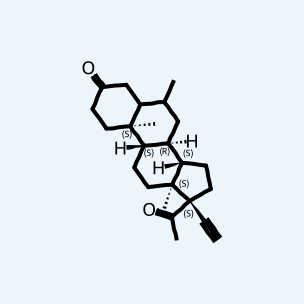 C#C[C@]1(C(C)=O)CC[C@H]2[C@@H]3CC(C)C4CC(=O)CC[C@]4(C)[C@H]3CC[C@@]21C